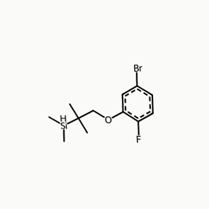 C[SiH](C)C(C)(C)COc1cc(Br)ccc1F